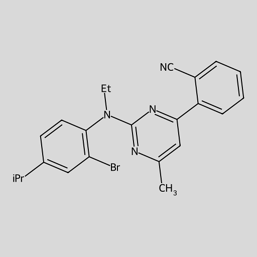 CCN(c1nc(C)cc(-c2ccccc2C#N)n1)c1ccc(C(C)C)cc1Br